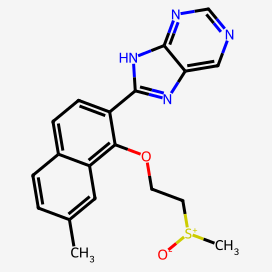 Cc1ccc2ccc(-c3nc4cncnc4[nH]3)c(OCC[S+](C)[O-])c2c1